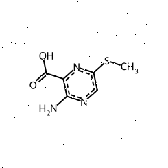 CSc1cnc(N)c(C(=O)O)n1